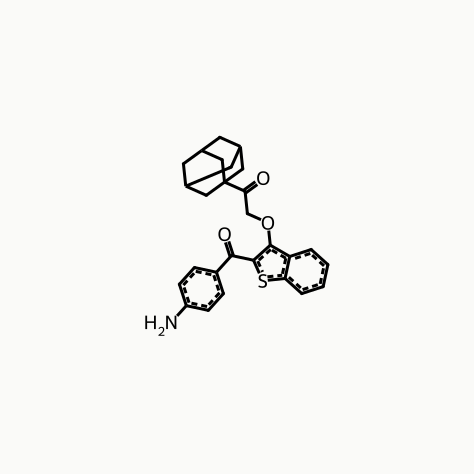 Nc1ccc(C(=O)c2sc3ccccc3c2OCC(=O)C23CC4CC(CC(C4)C2)C3)cc1